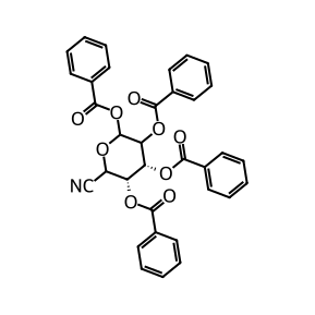 N#CC1OC(OC(=O)c2ccccc2)C(OC(=O)c2ccccc2)[C@H](OC(=O)c2ccccc2)[C@@H]1OC(=O)c1ccccc1